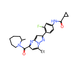 CCc1cc(C(=O)N2CCCCCC2C)nc2cc(-c3ccc(NC(=O)C4CC4)cc3F)nn12